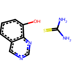 NC(N)=S.Oc1cccc2cncnc12